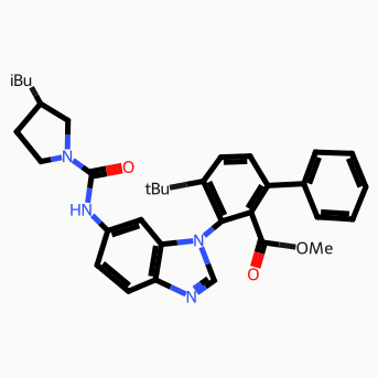 CCC(C)C1CCN(C(=O)Nc2ccc3ncn(-c4c(C(C)(C)C)ccc(-c5ccccc5)c4C(=O)OC)c3c2)C1